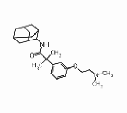 CN(C)CCOc1cccc(C(C)(C)C(=O)NC2C3CC4CC(C3)CC2C4)c1